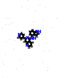 c1cc(Nc2nc(-c3ccncc3)cc3ncccc23)c2cc[nH]c2c1